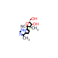 Cc1ncnn2c([C@]3(C#N)O[C@H](CO)[C@@H](O)[C@@]3(C)F)ccc12